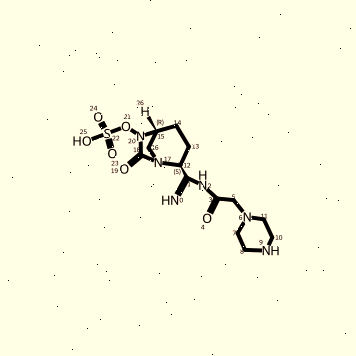 N=C(NC(=O)CN1CCNCC1)[C@@H]1CC[C@@H]2CN1C(=O)N2OS(=O)(=O)O